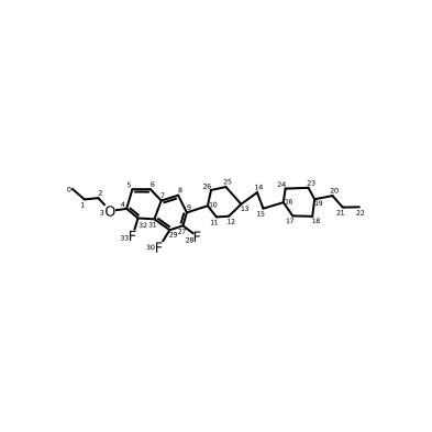 CCCOc1ccc2cc(C3CCC(CCC4CCC(CCC)CC4)CC3)c(F)c(F)c2c1F